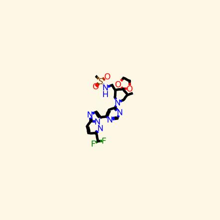 CC1CN(c2cc(-c3cnc4ccc(C(F)F)nn34)ncn2)CC(CNS(C)(=O)=O)C12OCCO2